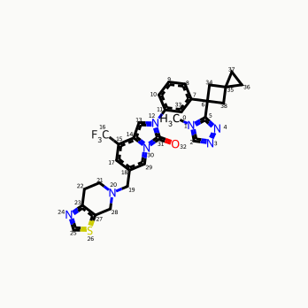 Cn1cnnc1C1(c2cccc(-n3cc4c(C(F)(F)F)cc(CN5CCc6ncsc6C5)cn4c3=O)c2)CC2(CC2)C1